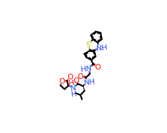 CC(C)C[C@H](NC(=O)CNC(=O)c1ccc2c(c1)Nc1ccccc1S2)C(=O)N[C@H]1CCOC1O